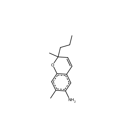 CCCC1(C)C=Cc2cc(N)c(C)cc2O1